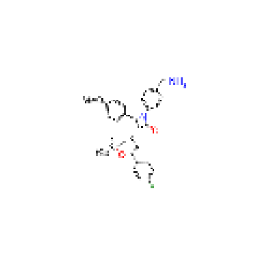 COc1ccc([C@@H]2[C@@H](CC[C@H](O[Si](C)(C)C(C)(C)C)c3ccc(F)cc3)C(=O)N2c2ccc(CN)cc2)cc1